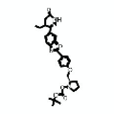 CCC1CC(=O)NN=C1c1ccc2nc(-c3ccc(OC[C@H]4CCCN4OC(=O)OC(C)(C)C)cc3)oc2c1